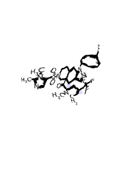 C=N/C(=C\C(=C/C)C(F)(F)F)C(=O)[C@]12Cc3cnn(-c4ccc(F)cc4)c3C=C1CCN(S(=O)(=O)c1cnc(C)n1C)C2